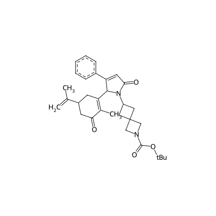 C=C(C)C1CC(=O)C(C)=C(C2C(c3ccccc3)=CC(=O)N2C2CC3(C2)CN(C(=O)OC(C)(C)C)C3)C1